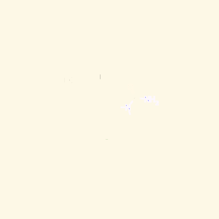 CCCCC(CC)c1c(-c2ccccc2F)ccn1C(N)=O